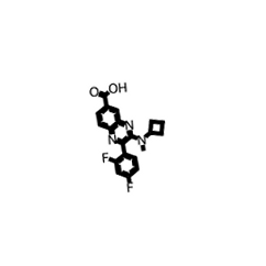 CN(c1nc2cc(C(=O)O)ccc2nc1-c1ccc(F)cc1F)C1CCC1